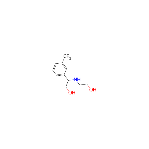 OCCNC(CO)c1cccc(C(F)(F)F)c1